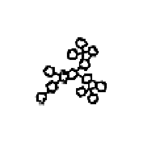 C1=CC2=C(CC1)C(c1ccccc1)(c1ccccc1)c1cc(-c3cc4nc(-c5ccc(-c6cccnc6)cc5)c(-c5ccccc5)nc4cc3-c3ccc4c(c3)C(c3ccccc3)(c3ccccc3)c3ccccc3-4)ccc12